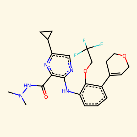 CN(C)NC(=O)c1nc(C2CC2)cnc1Nc1cccc(C2=CCOCC2)c1OCC(F)(F)F